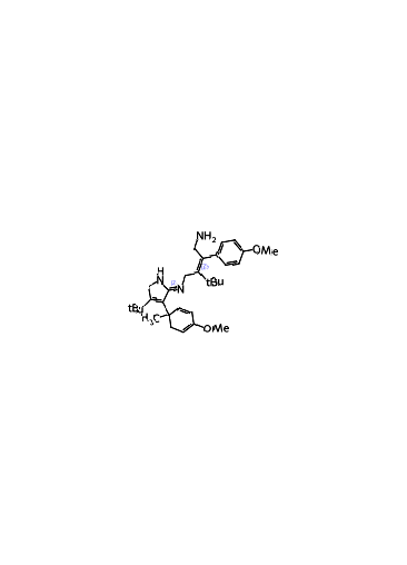 COC1=CCC(C)(C2=C(C(C)(C)C)CN/C2=N\C/C(=C(\CN)c2ccc(OC)cc2)C(C)(C)C)C=C1